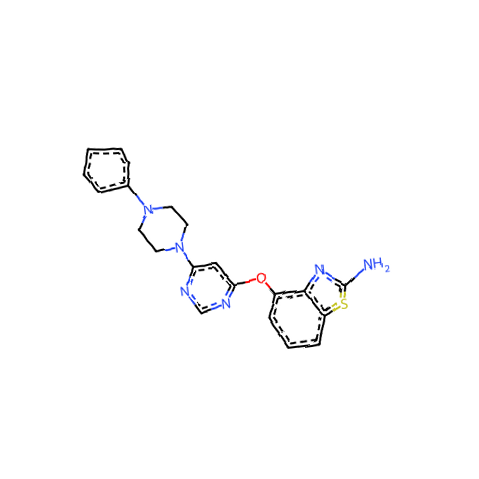 Nc1nc2c(Oc3cc(N4CCN(c5ccccc5)CC4)ncn3)cccc2s1